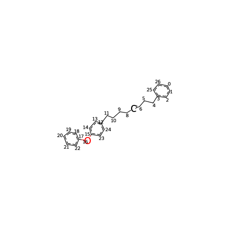 c1ccc(CCCCCCCCc2ccc(Oc3ccccc3)cc2)cc1